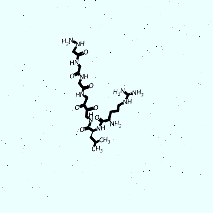 CC(C)C[C@H](NC(=O)[C@@H](N)CCCNC(N)N)C(=O)NCC(=O)C(=O)CNC(=O)CNC(=O)CNC(=O)CNN